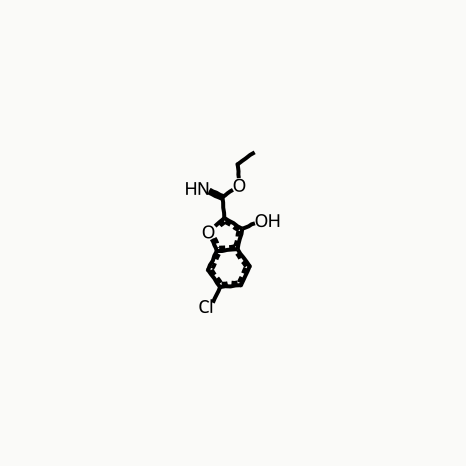 CCOC(=N)c1oc2cc(Cl)ccc2c1O